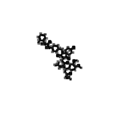 COc1ccc([C@@H](CC(N)=O)NC(=O)[C@H](CC(C)C)N2C(=O)N(Cc3ccc(NC(=O)Nc4ccccc4C)cc3)C3(CCC(=O)CC3)C2=O)cc1OC